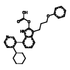 O=C(O)Oc1[nH]c2c(-c3cnccc3C3CCCCC3)cccc2c1CCCOc1ccccc1